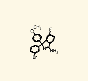 COc1ccc(C2(c3cccc(Br)c3)N=C(N)c3ccc(F)cc32)cc1